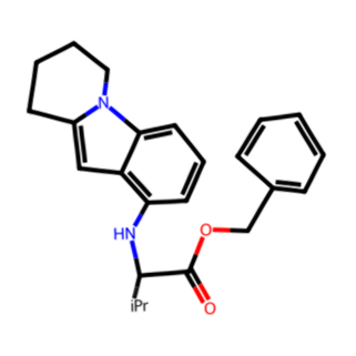 CC(C)C(Nc1cccc2c1cc1n2CCCC1)C(=O)OCc1ccccc1